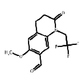 COc1cc2c(cc1C=O)N(CC(F)(F)F)C(=O)CC2